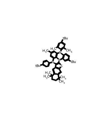 Cc1cc2c3c(c1)N(c1ccc(C(C)(C)C)cc1)c1c(sc4cc5c(cc14)C(C)(C)CCC5(C)C)B3c1cc(C(C)(C)C)ccc1N2c1c(C)cc(C(C)(C)C)cc1C